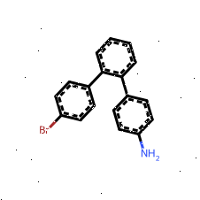 Nc1ccc(-c2ccccc2-c2ccc(Br)cc2)cc1